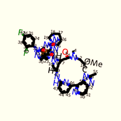 CO[C@H]1CN(C)C(=O)[C@@H]2C[C@@H](CN2c2nc(N3C4CC3CN(c3nccs3)C4)nc3c2cnn3-c2ccc(F)cc2F)Nc2cccc(n2)-c2nccc3nc(C)n(c23)C1